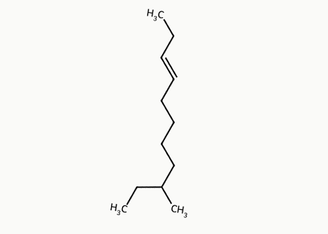 CCC=CCCCCC(C)CC